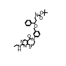 CCNc1ncc2c(n1)N(C)CCN(c1cccc(COC(CCN(C)C(=O)OC(C)(C)C)c3ccccc3)c1)C2=O